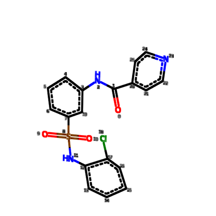 O=C(Nc1cccc(S(=O)(=O)Nc2ccccc2Cl)c1)c1ccncc1